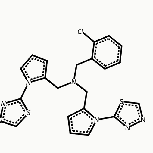 Clc1ccccc1CN(Cc1cccn1-c1nncs1)Cc1cccn1-c1nncs1